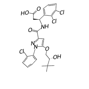 CC(C)(C)[C@@H](O)COc1cc(C(=O)N[C@@H](CC(=O)O)c2cccc(Cl)c2Cl)nn1-c1ccccc1Cl